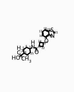 CC(C)(O)C1CCC(NC(=O)[C@H]2C[C@H](Oc3cccc4scnc34)C2)CC1